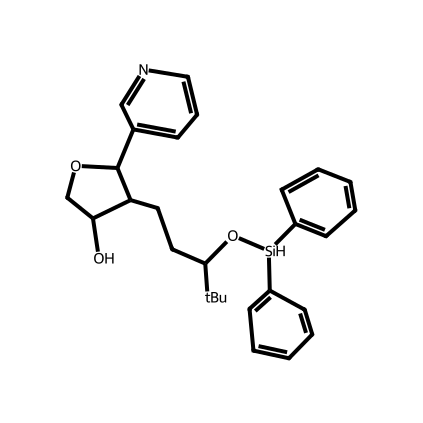 CC(C)(C)C(CCC1C(O)COC1c1cccnc1)O[SiH](c1ccccc1)c1ccccc1